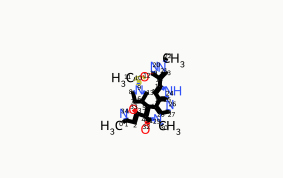 Cc1cc(-c2c(C3CCN([S+](C)[O-])C3)c3c4cc(-c5cnn(C)c5)[nH]c4ncc3n(C)c2=O)on1